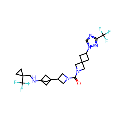 O=C(N1CC(C23CC(NCC4(C(F)(F)F)CC4)(C2)C3)C1)N1CC2(CC(n3cnc(C(F)(F)F)n3)C2)C1